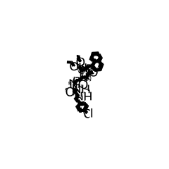 CCOC(OCC)[C@H](C)N(Cc1cccc2ccccc12)C(=O)[C@H](C)NC(=O)CN(C)NC(=O)NCc1ccc(Cl)cc1